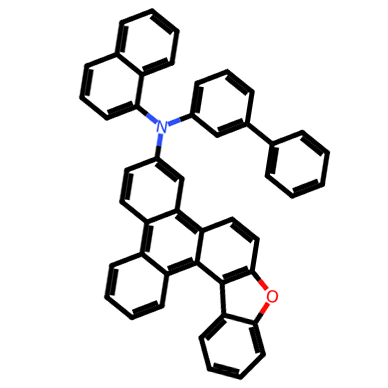 c1ccc(-c2cccc(N(c3ccc4c5ccccc5c5c(ccc6oc7ccccc7c65)c4c3)c3cccc4ccccc34)c2)cc1